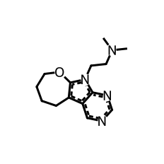 CN(C)CCn1c2c(c3cncnc31)CCCCO2